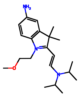 COCC[N+]1=C(/C=C/N(C(C)C)C(C)C)C(C)(C)c2cc(N)ccc21